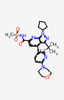 CC(C)(C)c1nn(C2CCCC2)c2nc(C(=O)NS(C)(=O)=O)cc(-c3ccc(N4CCOCC4)nc3)c12